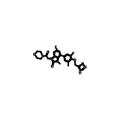 Cc1cc(-c2cc(F)cc3c2n(C)c(=O)n3CC(=O)N2CCOCC2)cc(F)c1OCc1nnc[nH]1